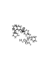 CC(C)COC(CN1CCN(S(=O)(=O)c2ccc3ncnc(N4CCCCC4)c3c2)CC1)c1ccccc1